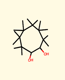 CC1(C)C(O)C(O)C(C)(C)C(C)(C)C(C)(C)C(C)(C)C1(C)C